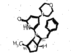 C[C@@H]1CC[C@@H]2C1N(c1cc(N3CCOCC3)cc(=O)[nH]1)[C@H]2Cc1ccccc1